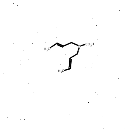 CC=CCN(CC=CC)C(=O)O